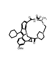 COc1ccc2c(c1)C1CC13Cn1c-2c(C2CCCCC2)c2ccc(cc21)C(=O)NS(=O)(=O)N(C)CCN1CCN(CC1)C3=O